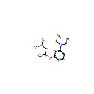 CCN(CC)c1cc[c]c(OC(C)CN(C)C)c1